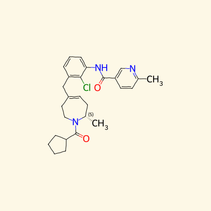 Cc1ccc(C(=O)Nc2cccc(CC3=CC[C@H](C)N(C(=O)C4CCCC4)CC3)c2Cl)cn1